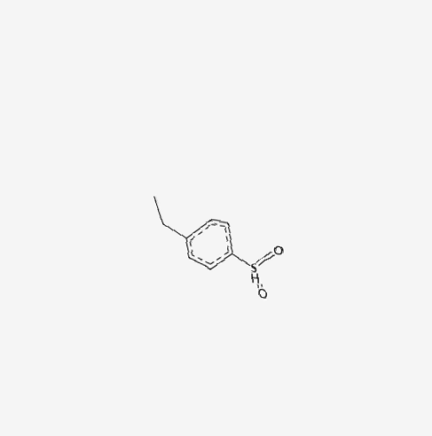 CCc1ccc([SH](=O)=O)cc1